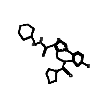 O=C(NNC1CCCCC1)c1ncn2c1CN(C(=O)N1CCCC1)c1cc(Cl)ccc1-2